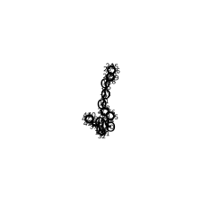 O=C(N[C@@H]1CCCc2cc(OCCOCCOc3ccc4c(c3)CCCC4)ccc21)[C@@H]1CCCN1C(=O)CC1CCCCC1